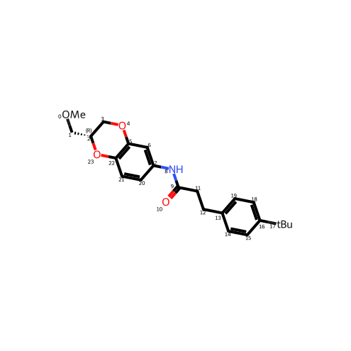 COC[C@@H]1COc2cc(NC(=O)CCc3ccc(C(C)(C)C)cc3)ccc2O1